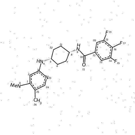 CNc1cc(N[C@H]2CC[C@@H](NC(=O)c3cc(F)c(F)c(F)c3)CC2)ncc1C